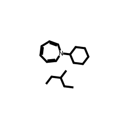 C1=CC=CN(C2CCCCC2)C=C1.CCC(C)CC